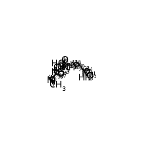 Cn1cc(-c2nn(C)c3c(C(=O)NC(CCN4CC[C@@H](CCc5ccc6c(n5)NCCC6)C4)C(=O)O)cccc23)cn1